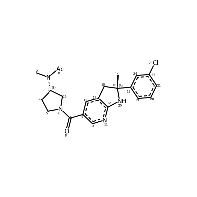 CC(=O)N(C)[C@H]1CCN(C(=O)c2cnc3c(c2)C[C@](C)(c2cccc(Cl)c2)N3)C1